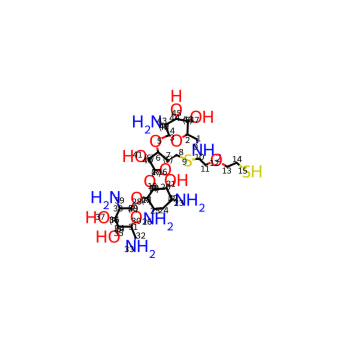 NCC1OC(OC2[C@@H](CSCCOCCS)O[C@@H](O[C@@H]3C(O)[C@H](N)CC(N)[C@H]3O[C@H]3OC(CN)[C@@H](O)[C@H](O)C3N)[C@H]2O)[C@H](N)C(O)[C@@H]1O